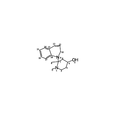 CN1CCC(O)CC1(C)N1CC=Cc2ccccc21